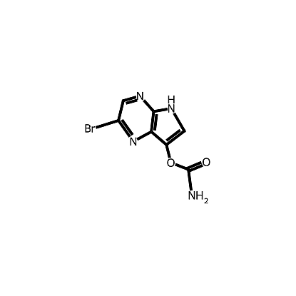 NC(=O)Oc1c[nH]c2ncc(Br)nc12